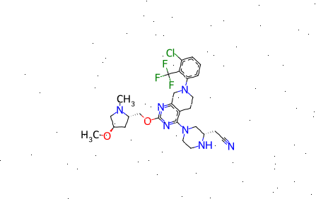 CO[C@@H]1C[C@@H](COc2nc3c(c(N4CCN[C@@H](CC#N)C4)n2)CCN(c2cccc(Cl)c2C(F)(F)F)C3)N(C)C1